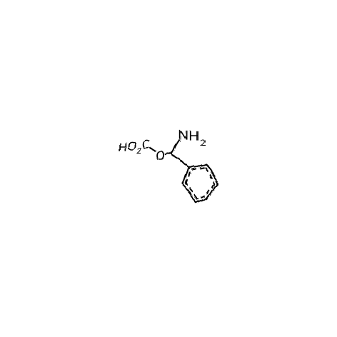 NC(OC(=O)O)c1ccccc1